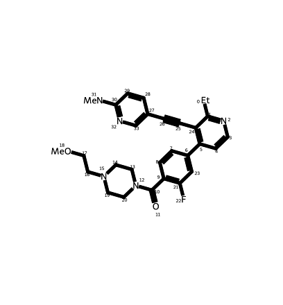 CCc1nccc(-c2ccc(C(=O)N3CCN(CCOC)CC3)c(F)c2)c1C#Cc1ccc(NC)nc1